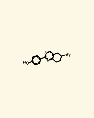 CCCC1CCc2nc(-c3ccc(O)cc3)ncc2C1